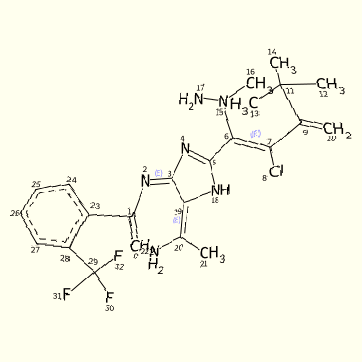 C=C(/N=C1N=C(/C(=C(\Cl)C(=C)C(C)(C)C)N(C)N)NC/1=C(\C)N)c1ccccc1C(F)(F)F